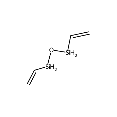 C=C[SiH2]O[SiH2]C=C